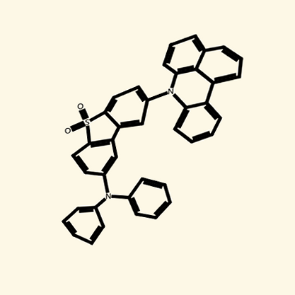 O=S1(=O)c2ccc(N(c3ccccc3)c3ccccc3)cc2-c2cc(N3c4ccccc4-c4cccc5cccc3c45)ccc21